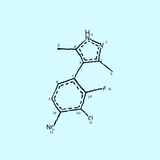 Cc1n[nH]c(C)c1-c1ccc(C#N)c(Cl)c1F